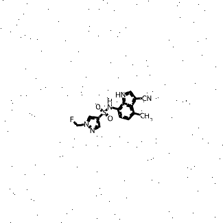 Cc1ccc(NS(=O)(=O)c2cnn(CF)c2)c2[nH]cc(C#N)c12